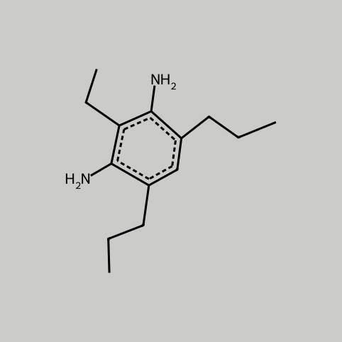 CCCc1cc(CCC)c(N)c(CC)c1N